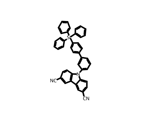 N#Cc1ccc2c(c1)c1cc(C#N)ccc1n2-c1cccc(-c2ccc([Si](c3ccccc3)(c3ccccc3)c3ccccc3)cc2)c1